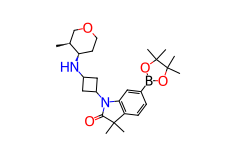 C[C@H]1COCC[C@H]1NC1CC(N2C(=O)C(C)(C)c3ccc(B4OC(C)(C)C(C)(C)O4)cc32)C1